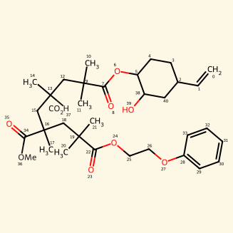 C=CC1CCC(OC(=O)C(C)(C)CC(C)(CC(C)(CC(C)(C)C(=O)OCCOc2ccccc2)C(=O)OC)C(=O)O)C(O)C1